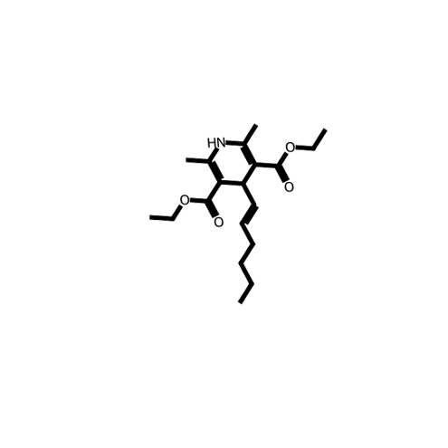 CCCC/C=C/C1C(C(=O)OCC)=C(C)NC(C)=C1C(=O)OCC